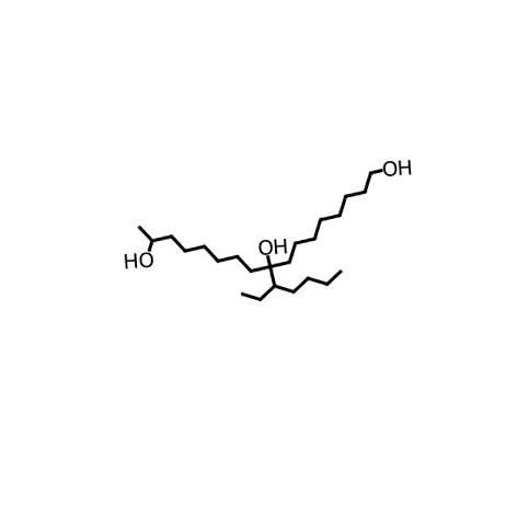 CCCCC(CC)C(O)(CCCCCCCCO)CCCCCCC(C)O